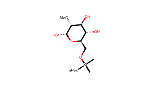 CCCCCC[Si](C)(C)OC[C@H]1O[C@H](O)[C@H](OC)[C@@H](O)[C@@H]1O